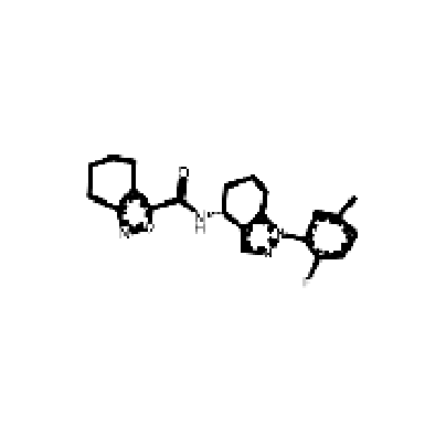 Cc1ccc(F)c(-n2ncc3c2CCC[C@H]3NC(=O)c2onc3c2CCCC3)c1